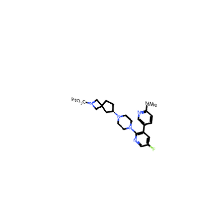 CCOC(=O)N1CC2(CC[C@@H](N3CCN(c4ncc(F)cc4-c4ccc(NC)nc4)CC3)C2)C1